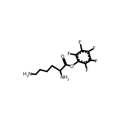 NCCCCC(N)C(=O)Oc1c(F)c(F)c(F)c(F)c1F